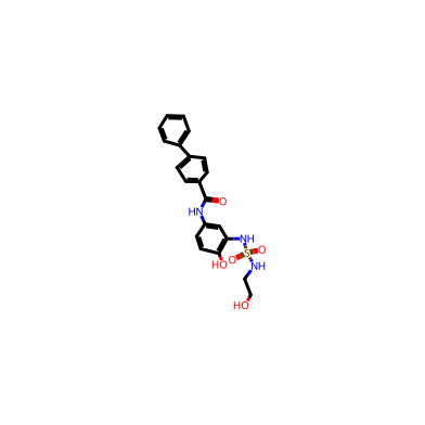 O=C(Nc1ccc(O)c(NS(=O)(=O)NCCO)c1)c1ccc(-c2ccccc2)cc1